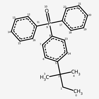 CCC(C)(C)c1ccc(P(=O)(c2ccccc2)c2ccccc2)cc1